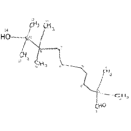 CC(C)(C=O)CCCCC(C)(C)[Si](C)(C)O